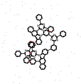 c1ccc(-c2nc(-c3ccccc3)nc(-c3cccc(-c4c5ccccc5cc5c6cc(-c7cccc(-c8nc(-c9ccccc9)nc(-c9cccc(-n%10c%11ccccc%11c%11cc%12ccccc%12c(-c%12nc(-c%13ccccc%13)nc(-c%13ccccc%13)n%12)c%11%10)c9)n8)c7)ccc6n(-c6nc(-c7ccccc7)nc(-c7ccccc7)n6)c45)c3)n2)cc1